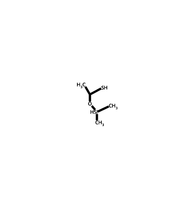 CC(S)O[SiH](C)C